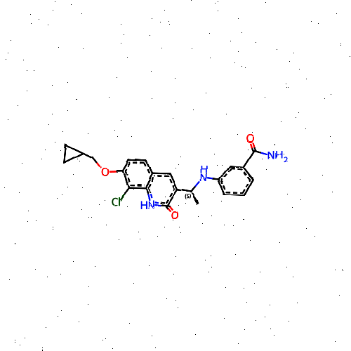 C[C@H](Nc1cccc(C(N)=O)c1)c1cc2ccc(OCC3CC3)c(Cl)c2[nH]c1=O